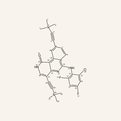 C[Si](C)(C)C#Cc1ccc2c(Nc3c(F)cc(F)cc3Cl)nc3c(C#C[Si](C)(C)C)c[nH]c(=O)c3c2c1